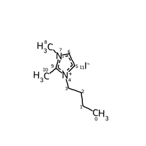 CCCC[n+]1ccn(C)c1C.[I-]